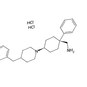 Cl.Cl.NC[C@]1(c2ccccc2)CC[C@H](N2CCC(Cc3ccccc3)CC2)CC1